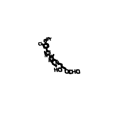 Cc1c2c(nn1-c1nnc(-c3ccc(OC(C)C)c(Cl)c3)s1)CCN(C[C@@H](O)COC=O)C2